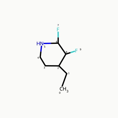 CCC1CCNC(F)C1F